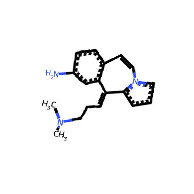 CN(C)CCC=C1c2cc(N)ccc2C=Cn2cccc21